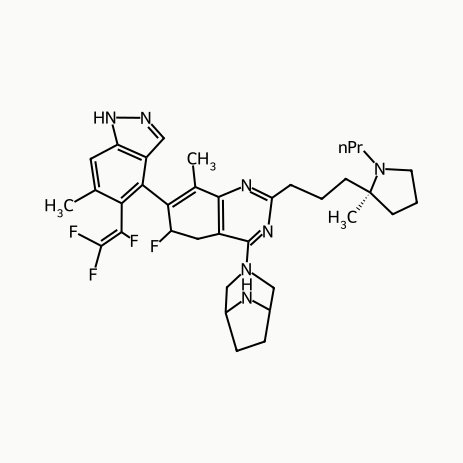 CCCN1CCC[C@@]1(C)CCCc1nc2c(c(N3CC4CCC(C3)N4)n1)CC(F)C(c1c(C(F)=C(F)F)c(C)cc3[nH]ncc13)=C2C